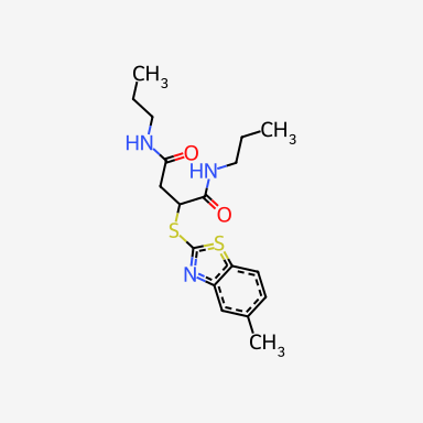 CCCNC(=O)CC(Sc1nc2cc(C)ccc2s1)C(=O)NCCC